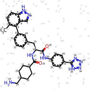 Cc1ccc2[nH]ncc2c1-c1cccc(C[C@H](NC(=O)C2CCC(CN)CC2)C(=O)Nc2ccc(-c3nnn[nH]3)cc2)c1